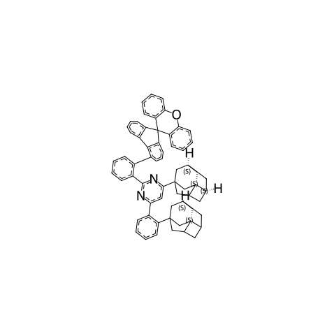 c1ccc2c(c1)Oc1ccccc1C21c2ccccc2-c2c(-c3ccccc3-c3nc(-c4ccccc4C45CC6CC7C[C@H](C4)C[C@]76C5)cc(C45CC6C[C@@H]7C[C@H](C4)C[C@@]67C5)n3)cccc21